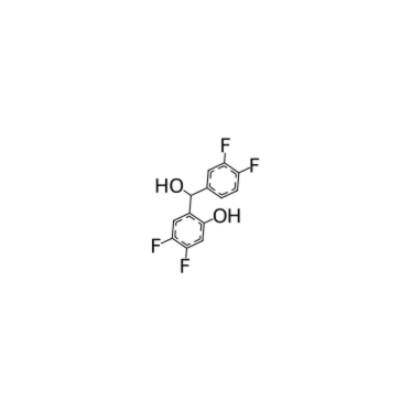 Oc1cc(F)c(F)cc1C(O)c1ccc(F)c(F)c1